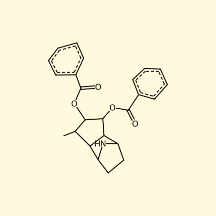 CC1C(OC(=O)c2ccccc2)C(OC(=O)c2ccccc2)C2C3CCC(N3)C12